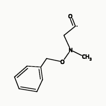 CN(C[C]=O)OCc1ccccc1